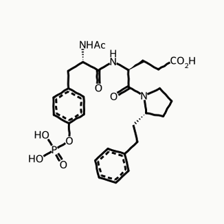 CC(=O)N[C@@H](Cc1ccc(OP(=O)(O)O)cc1)C(=O)N[C@@H](CCC(=O)O)C(=O)N1CCC[C@@H]1CCc1ccccc1